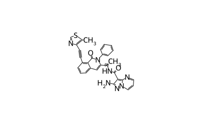 Cc1scnc1C#Cc1cccc2cc([C@@H](C)NC(=O)c3c(N)nn4cccnc34)n(-c3ccccc3)c(=O)c12